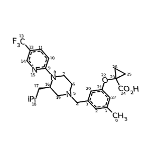 Cc1cc(CN2CCN(c3ccc(C(F)(F)F)cn3)[C@H](CC(C)C)C2)cc(OC2(C(=O)O)CC2)c1